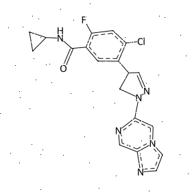 O=C(NC1CC1)c1cc(C2C=NN(c3cn4ccnc4cn3)C2)c(Cl)cc1F